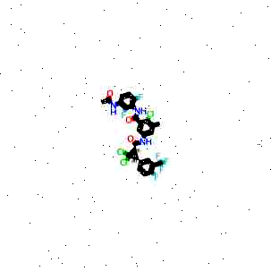 CC(=O)Nc1ccc(F)c(NC(=O)c2cc(NC(=O)[C@H]3[C@H](c4ccc(F)c(C(F)(F)F)c4)C3(Cl)Cl)cc(C)c2Cl)c1F